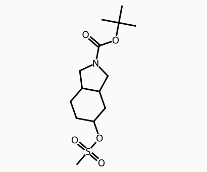 CC(C)(C)OC(=O)N1CC2CCC(OS(C)(=O)=O)CC2C1